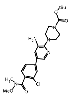 CON(C)C(=O)c1ccc(-c2cnc(N3CCN(C(=O)OC(C)(C)C)CC3)c(N)c2)cc1Cl